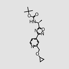 C[C@H](NC(=O)OC(C)(C)C)c1nc(-c2ccnc(COC3CC3)c2)no1